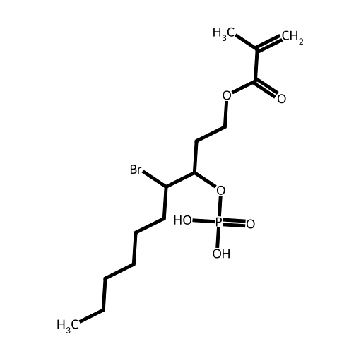 C=C(C)C(=O)OCCC(OP(=O)(O)O)C(Br)CCCCCC